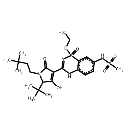 CCOP1(=O)N=C(C2=C(O)C(C(C)(C)C)N(CCC(C)(C)C)C2=O)Nc2ccc(NS(C)(=O)=O)cc21